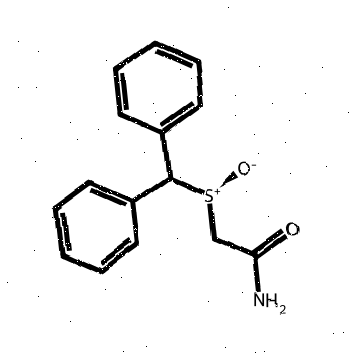 NC(=O)C[S@+]([O-])C(c1ccccc1)c1ccccc1